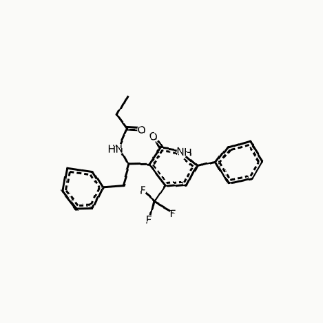 CCC(=O)NC(Cc1ccccc1)c1c(C(F)(F)F)cc(-c2ccccc2)[nH]c1=O